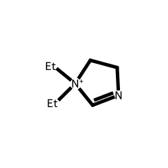 CC[N+]1(CC)C=NCC1